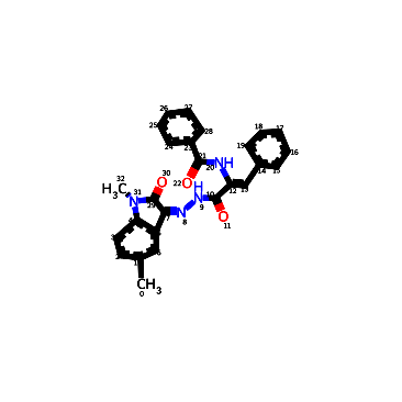 Cc1ccc2c(c1)C(=NNC(=O)C(=Cc1ccccc1)NC(=O)c1ccccc1)C(=O)N2C